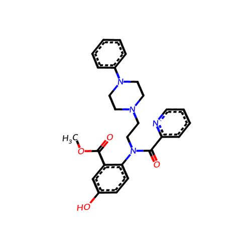 COC(=O)c1cc(O)ccc1N(CCN1CCN(c2ccccc2)CC1)C(=O)c1ccccn1